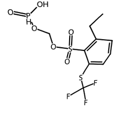 CCc1cccc(SC(F)(F)F)c1S(=O)(=O)OCO[PH](=O)O